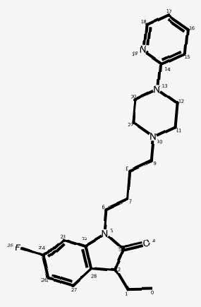 CCC1C(=O)N(CCCCN2CCN(c3ccccn3)CC2)c2cc(F)ccc21